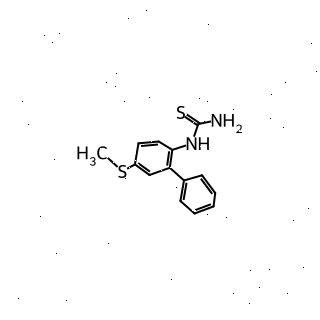 CSc1ccc(NC(N)=S)c(-c2ccccc2)c1